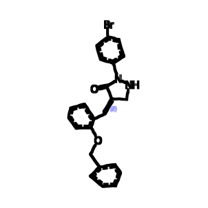 O=C1/C(=C\c2ccccc2OCc2ccccc2)CNN1c1ccc(Br)cc1